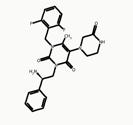 Cc1c(N2CCNC(=O)C2)c(=O)n(C[C@H](N)c2ccccc2)c(=O)n1Cc1c(F)cccc1F